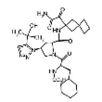 CC(C)(O)c1cnnn1[C@H]1C[C@@H](C(=O)NC2(C(=O)C(N)=O)CC3(CCC3)C2)N(C(=O)[C@@H](CC2CCCCC2)NC(=O)O)C1